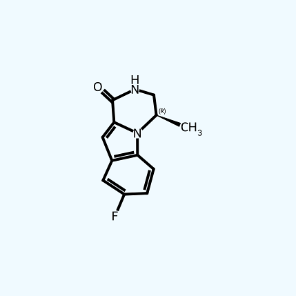 C[C@@H]1CNC(=O)c2cc3cc(F)ccc3n21